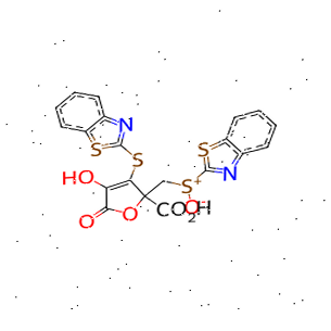 O=C1OC(C[S+]([O-])c2nc3ccccc3s2)(C(=O)O)C(Sc2nc3ccccc3s2)=C1O